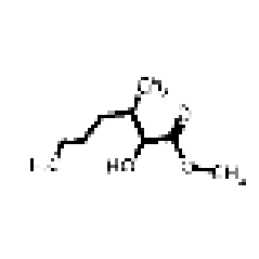 CCCCC(C)C(O)C(=O)OC